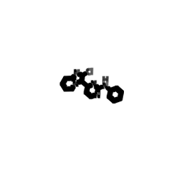 Clc1nc2ccccn2c1-c1ccnc(Nc2ccccc2)n1